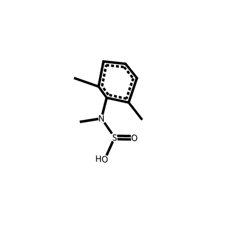 Cc1cccc(C)c1N(C)S(=O)O